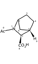 CC(=O)N1C2CC[C@@H](C2)[C@H]1C(=O)O